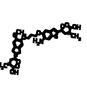 COc1cc2c(cc1OCCCOc1cc3cc(C(=O)C[C@H](C)C(=O)O)sc3cc1N)CN(C(=O)C[C@H](C)C(=O)O)C2